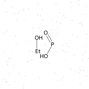 CCO.O=PO